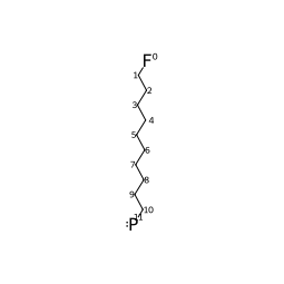 FCCCCCCCCCC[P]